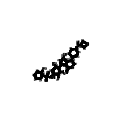 CCn1nc(-c2cc(F)c(NS(=O)(=O)c3ccccc3F)cc2F)c2c(N)ncc(C3=CCC(NC4COC4)CC3)c21